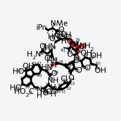 CN[C@H](CC(C)C)C(=O)N[C@H]1C(=O)N[C@@H](CC(N)=O)C(=O)N[C@H]2CNC3C(=O)N[C@H](C(=O)N[C@H](C(=O)O)C4=CC(O)CC5=C4C4CC3=CC=C4C5(O)O)[C@H](O)C3=CC=C(Oc4cc2cc(c4O[C@H]2OC(CO)C(O)[C@H](O)C2O[C@H]2CC(C)(N)[C@H](O)[C@H](C)O2)OC2=C(Cl)C=C(CC2)[C@H]1O)C(Cl)C3